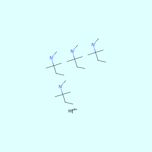 CCC(C)(C)[N-]C.CCC(C)(C)[N-]C.CCC(C)(C)[N-]C.CCC(C)(C)[N-]C.[Hf+4]